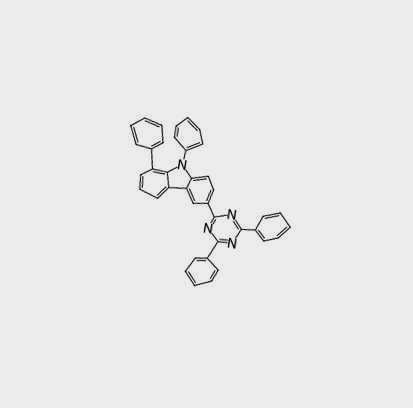 c1ccc(-c2nc(-c3ccccc3)nc(-c3ccc4c(c3)c3cccc(-c5ccccc5)c3n4-c3ccccc3)n2)cc1